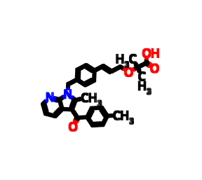 Cc1ccc(C(=O)c2c(C)n(Cc3ccc(C=CCOC(C)(C)C(=O)O)cc3)c3ncccc23)cc1